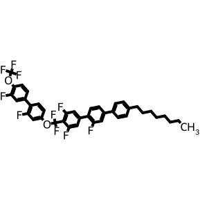 CCCCCCCCc1ccc(-c2ccc(-c3cc(F)c(C(F)(F)Oc4ccc(-c5ccc(OC(F)(F)F)c(F)c5)c(F)c4)c(F)c3)c(F)c2)cc1